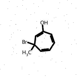 CC1(Br)C=CC=CC(O)=C1